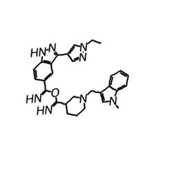 CCn1cc(-c2n[nH]c3ccc(C(=N)OC(=N)C4CCCN(Cc5cn(C)c6ccccc56)C4)cc23)cn1